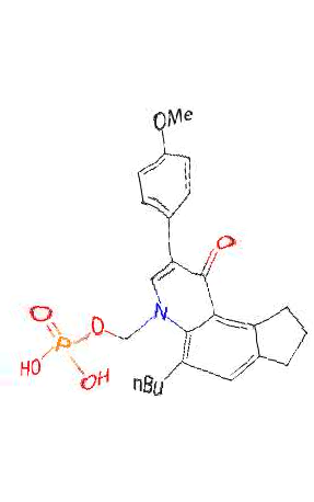 CCCCc1cc2c(c3c(=O)c(-c4ccc(OC)cc4)cn(COP(=O)(O)O)c13)CCC2